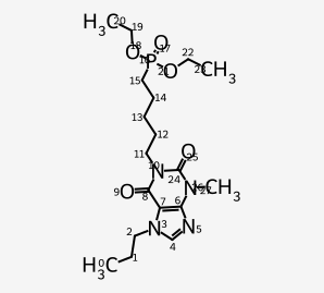 CCCn1cnc2c1c(=O)n(CCCCCP(=O)(OCC)OCC)c(=O)n2C